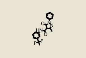 CC1=NN(c2ccccc2)C(=O)C1C(=O)Nc1cccc(C(C)(F)F)c1